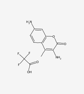 Cc1c(N)c(=O)oc2cc(N)ccc12.O=C(O)C(F)(F)F